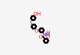 O=C(Nc1cccc(Oc2ccc(Sc3ccc(O)cc3)cc2)c1)c1ccccc1O